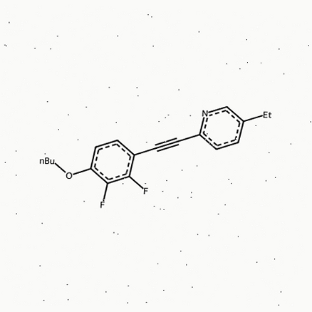 CCCCOc1ccc(C#Cc2ccc(CC)cn2)c(F)c1F